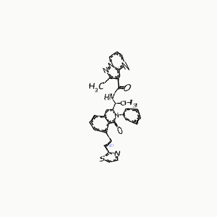 Cc1nn2cccnc2c1C(=O)NC(C)c1cc2cccc(/C=C/c3nccs3)c2c(=O)n1-c1ccccc1